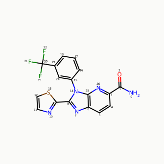 NC(=O)c1ccc2nc(-c3nccs3)n(-c3cccc(C(F)(F)F)c3)c2n1